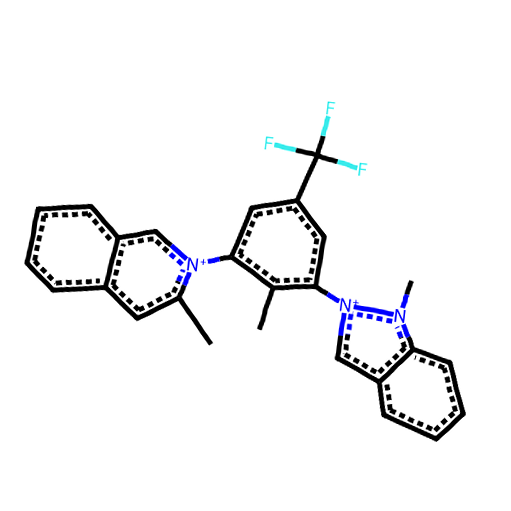 Cc1c(-[n+]2cc3ccccc3cc2C)cc(C(F)(F)F)cc1-[n+]1cc2ccccc2n1C